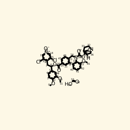 COc1ccc(C(Cc2c(Cl)c[n+]([O-])cc2Cl)OC(=O)c2ccc(CN(C(=O)O[C@H]3CN4CCC3CC4)c3c(F)cccc3OC)cc2)cc1OC.O=CO